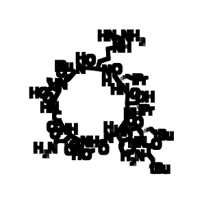 CC[C@H](C)[C@@H]1NC(=O)[C@@H](CCCNC(=N)N)NC(=O)[C@H](CC(C)C)NC(=O)C([C@H](O)C(C)C)NC(=O)[C@@H](NC(=O)[C@H](CC(C)(C)C)NC(=O)[C@H](N)CC(C)(C)C)[C@@H](c2ccccc2)NC(=O)[C@H](CO)NC(=O)[C@H]([C@H](O)C(N)=O)NC(=O)CNC(=O)[C@H]([C@H](C)O)NC1=O